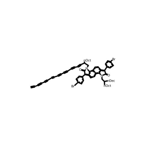 C#CC#CC#CC#CC#CC#CC#CC#CC(CCCCCCCC)CN1C(=O)C(c2ccc(Br)cc2)=c2ccc3c4c(ccc3c21)=C(c1ccc(Br)cc1)C(=O)N4CC(CCCCCCCC)CCCCCCCCCC